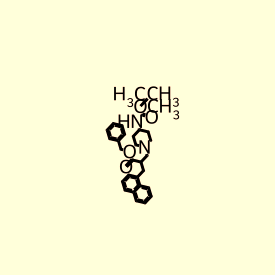 CC(C)(C)OC(=O)NC1CCN(CC(Cc2cccc3ccccc23)C(=O)OCc2ccccc2)CC1